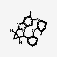 Fc1cc2nc3n(c2cc1Br)C(c1ccccc1Oc1ccccc1F)[C@@H]1C[C@H]31